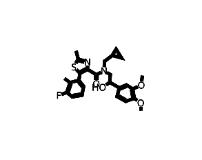 COc1ccc(C(O)CN(CC2CC2)C(=O)c2nc(C)sc2-c2cccc(F)c2C)cc1OC